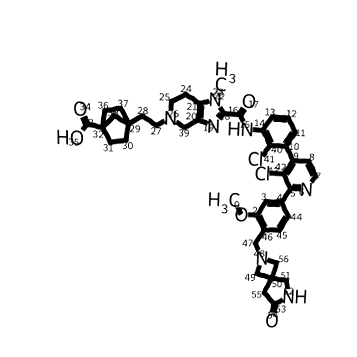 COc1cc(-c2nccc(-c3cccc(NC(=O)c4nc5c(n4C)CCN(CCC46CCC(C(=O)O)(CC4)C6)C5)c3Cl)c2Cl)ccc1CN1CC2(CNC(=O)C2)C1